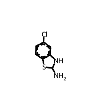 NC1Nc2cc(Cl)ccc2S1